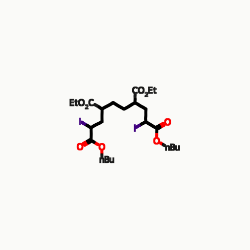 CCCCOC(=O)C(I)CC(CCC(CC(I)C(=O)OCCCC)C(=O)OCC)C(=O)OCC